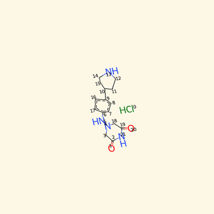 Cl.O=C1CN(Nc2ccc(C3CCNCC3)cc2)CC(=O)N1